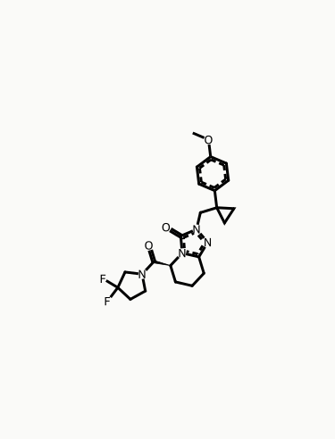 COc1ccc(C2(Cn3nc4n(c3=O)[C@H](C(=O)N3CCC(F)(F)C3)CCC4)CC2)cc1